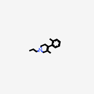 CCCN1CCC(c2ccccc2C)=C(C)C1